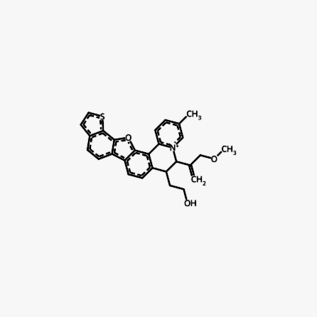 C=C(COC)C1C(CCO)c2ccc3c(oc4c3ccc3ccsc34)c2-c2ccc(C)c[n+]21